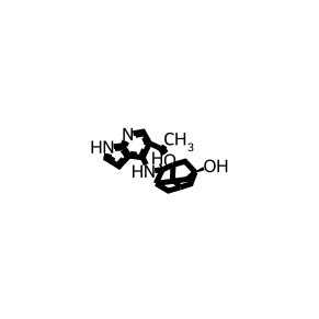 CC(=O)c1cnc2[nH]ccc2c1N[C@H]1C2CC3CC1C[C@@](O)(C3)C2